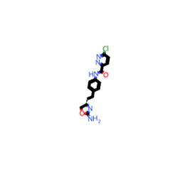 NC1=N[C@@H](CCc2ccc(NC(=O)c3ccc(Cl)nn3)cc2)CO1